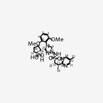 COc1cccc(OC)c1N1CN(NS(=O)(=O)[C@@H](C)[C@H](C)c2ncc(C)cn2)N=C1[C@H]1CCCS1(O)O